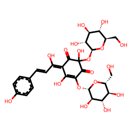 O=C1C(O[C@@H]2O[C@H](CO)[C@@H](O)[C@H](O)[C@H]2O)=C(O)/C(=C(O)\C=C\c2ccc(O)cc2)C(=O)C1(O)O[C@@H]1O[C@H](CO)[C@@H](O)[C@H](O)[C@H]1O